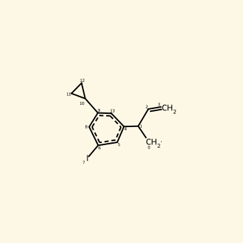 [CH2]C(C=C)c1cc(I)cc(C2CC2)c1